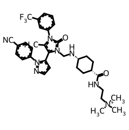 Cc1c(-c2ccnn2-c2ccc(C#N)cc2)n(CN[C@H]2CC[C@@H](C(=O)NCC[N+](C)(C)C)CC2)c(=O)n1-c1cccc(C(F)(F)F)c1